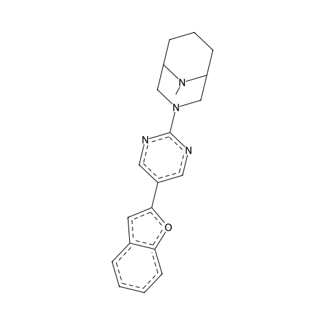 CN1C2CCCC1CN(c1ncc(-c3cc4ccccc4o3)cn1)C2